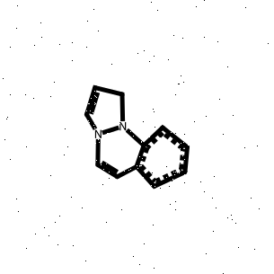 C1=CN2C=Cc3ccccc3N2C1